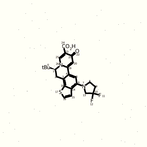 CC(C)(C)[C@@H]1Cc2c(cc(N3CCC(F)(F)C3)c3ccsc23)-c2cc(=O)c(C(=O)O)cn21